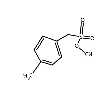 Cc1ccc(CS(=O)(=O)OC#N)cc1